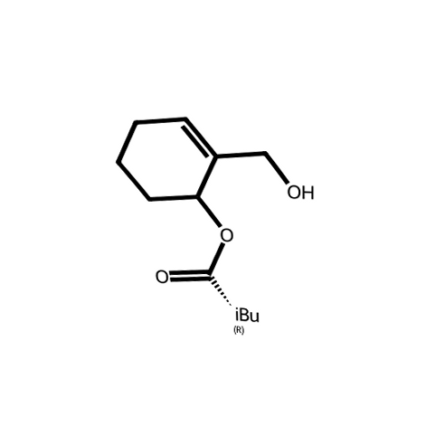 CC[C@@H](C)C(=O)OC1CCCC=C1CO